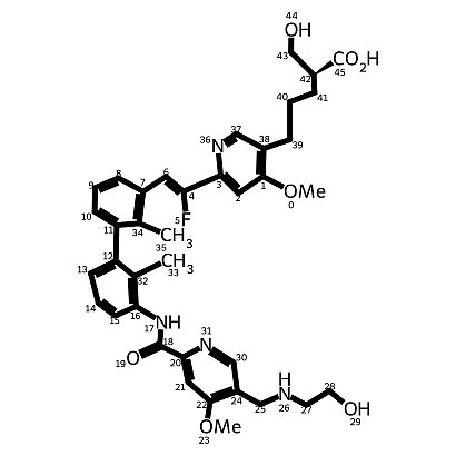 COc1cc(/C(F)=C/c2cccc(-c3cccc(NC(=O)c4cc(OC)c(CNCCO)cn4)c3C)c2C)ncc1CCC[C@@H](CO)C(=O)O